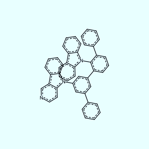 c1ccc(-c2cc(-c3cccc(-c4ccccc4)c3-n3c4ccccc4c4ccccc43)cc(-n3c4ccccc4c4cnccc43)c2)cc1